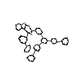 c1ccc(-c2ccc(-c3cc(-c4ccc(-c5ccccc5)cc4)cc(-c4cccc(-c5nc(-c6cccc(-c7ccccc7)c6)c6c(n5)oc5ccccc56)c4)c3)cc2)cc1